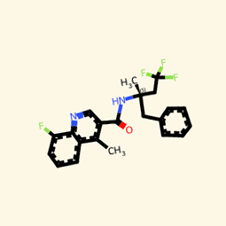 Cc1c(C(=O)N[C@@](C)(Cc2ccccc2)CC(F)(F)F)cnc2c(F)cccc12